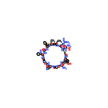 CCCC[C@H]1C(=O)N(C)[C@@H](CCCC)C(=O)N[C@@H](CCCNC(=N)N)C(=O)NC(C(=O)N[C@@H](CO)C(N)=O)CSCC(=O)N[C@@H](Cc2ccc(O)cc2)C(=O)N(C)[C@@H](C)C(=O)N[C@@H](CC(N)=O)C(=O)N2CCC[C@H]2C(=O)N[C@@H](Cc2cnc[nH]2)C(=O)N[C@@H](CO)C(=O)N2CCC[C@H]2C(=O)N[C@@H](Cc2c[nH]c3ccccc23)C(=O)N[C@@H](CO)C(=O)N[C@@H](Cc2csc3ccccc23)C(=O)N1C